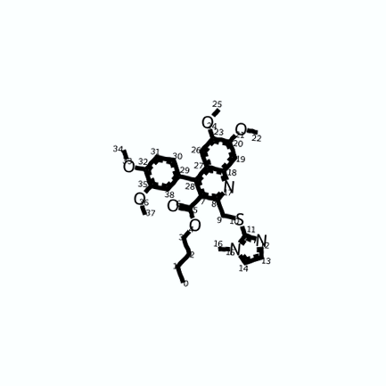 CCCCOC(=O)c1c(CSc2nccn2C)nc2cc(OC)c(OC)cc2c1-c1ccc(OC)c(OC)c1